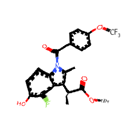 CCCOC(=O)[C@@H](C)c1c(C)n(C(=O)c2ccc(OC(F)(F)F)cc2)c2ccc(O)c(F)c12